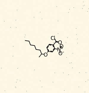 CCCCCCC(C)Oc1ccc(C(=O)Cl)c([N+](=O)[O-])c1